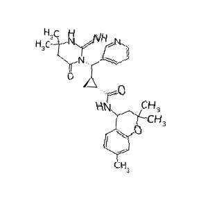 Cc1ccc2c(c1)OC(C)(C)CC2NC(=O)[C@@H]1C[C@H]1[C@@H](c1cccnc1)N1C(=N)NC(C)(C)CC1=O